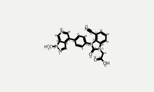 Cn1ncc2c(-c3ccc(-n4c(=O)n(CC(=O)O)c5cccc(C#N)c54)cc3)cncc21